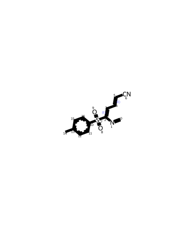 C=N/C(=C\C=C\C#N)S(=O)(=O)c1ccc(C)cc1